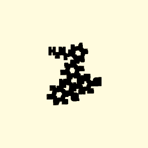 NCc1ccccc1-c1ccc(-c2nc3ccccc3c(=O)n2-c2ccc(Cl)cn2)cc1